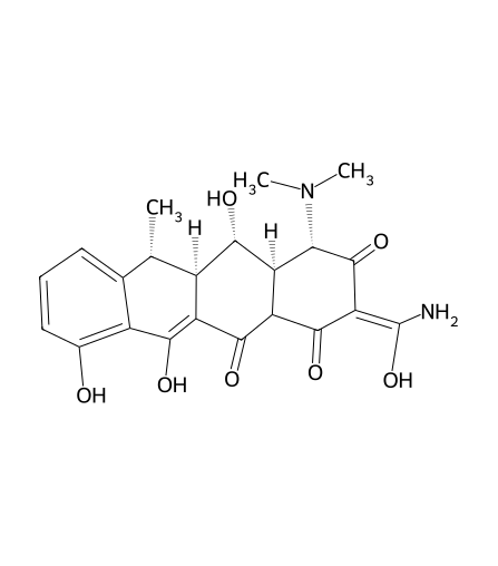 C[C@H]1c2cccc(O)c2C(O)=C2C(=O)C3C(=O)/C(=C(/N)O)C(=O)[C@@H](N(C)C)[C@@H]3[C@@H](O)[C@@H]21